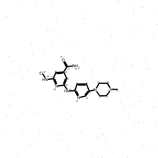 CN1CCN(c2ccc(Nc3cc(C(N)=O)cc(NCl)n3)nc2)CC1